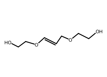 OCCOC=CCOCCO